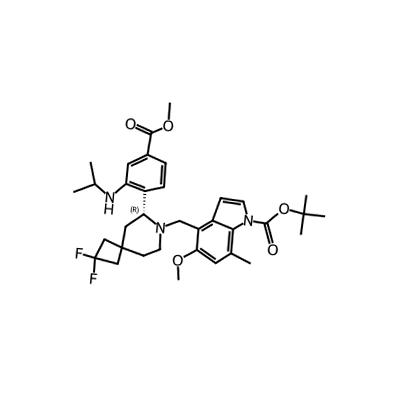 COC(=O)c1ccc([C@H]2CC3(CCN2Cc2c(OC)cc(C)c4c2ccn4C(=O)OC(C)(C)C)CC(F)(F)C3)c(NC(C)C)c1